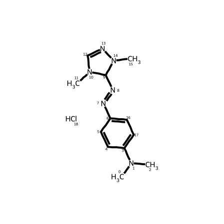 CN(C)c1ccc(N=NC2N(C)C=NN2C)cc1.Cl